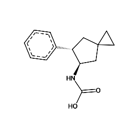 O=C(O)N[C@@H]1CC2(CC2)C[C@H]1c1ccccc1